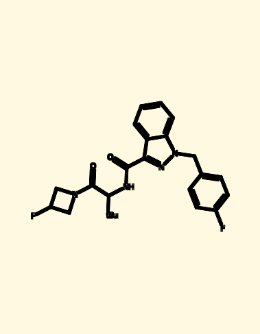 CC(C)(C)C(NC(=O)c1nn(Cc2ccc(F)cc2)c2ccccc12)C(=O)N1CC(F)C1